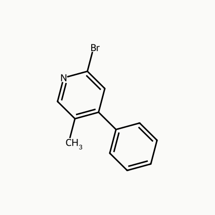 Cc1cnc(Br)cc1-c1ccccc1